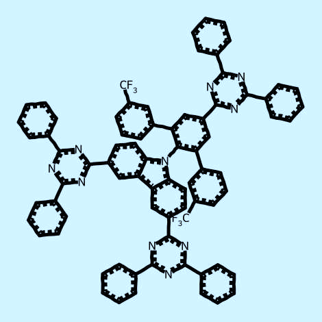 FC(F)(F)c1cccc(-c2cc(-c3nc(-c4ccccc4)nc(-c4ccccc4)n3)cc(-c3cccc(C(F)(F)F)c3)c2-n2c3ccc(-c4nc(-c5ccccc5)nc(-c5ccccc5)n4)cc3c3cc(-c4nc(-c5ccccc5)nc(-c5ccccc5)n4)ccc32)c1